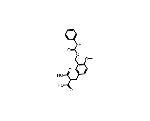 COc1ccc(CC(C(=O)O)C(=O)O)cc1COC(=O)Nc1ccccc1